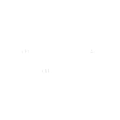 CCCC(C)=CCCC(C)=O